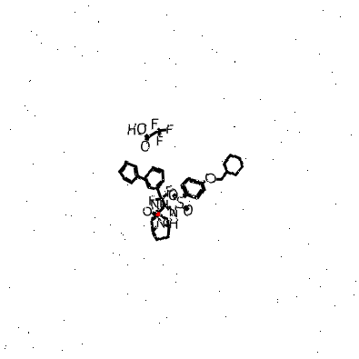 NC1CC2CCC(C1)N2C(=O)C(NS(=O)(=O)c1ccc(OCC2CCCCC2)cc1)C(F)(F)c1cccc(-c2ccccc2)c1.O=C(O)C(F)(F)F